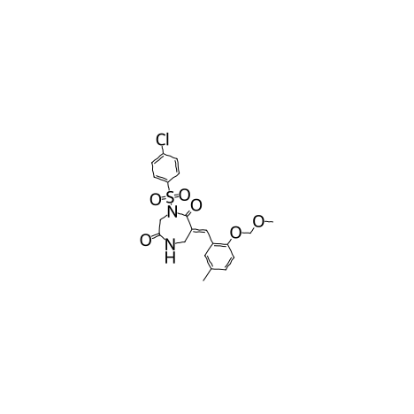 COCOc1ccc(C)cc1C=C1CNC(=O)CN(S(=O)(=O)c2ccc(Cl)cc2)C1=O